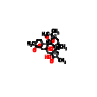 CC(=O)OCC1=C[C@H]2C3C(C)(C)[C@]3(OC(=O)Cc3ccccc3)C[C@@H](C)[C@]2(O)[C@@H]2C=C(C)C(=O)[C@@]2(O)C1